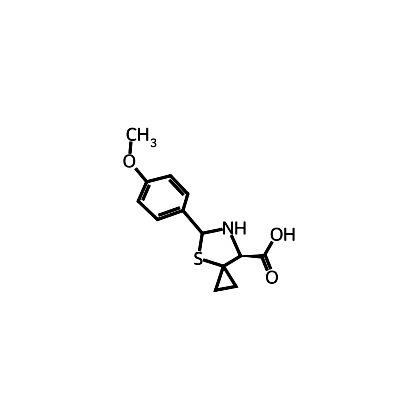 COc1ccc(C2N[C@@H](C(=O)O)C3(CC3)S2)cc1